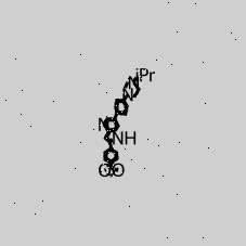 CC(C)N1CCN(c2ccc(-c3cnc4cc(-c5ccc(S(C)(=O)=O)cc5)[nH]c4c3)cc2)CC1